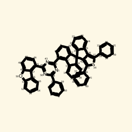 c1ccc(-c2nc(-c3cccc4c3-c3ccccc3C43c4ccccc4-c4c(-c5ccccc5)sc(-c5ccccc5)c43)nc(-c3cccc4oc5ccccc5c34)n2)cc1